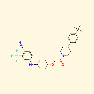 CC(C)(C)c1ccc(C2CCN(C(=O)CO[C@H]3CC[C@H](Nc4ccc(C#N)c(C(F)(F)F)c4)CC3)CC2)cc1